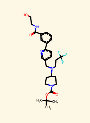 CC(C)(C)OC(=O)N1CCC(N(CCC(F)(F)F)Cc2ccc(-c3cccc(C(=O)NCCO)c3)nc2)CC1